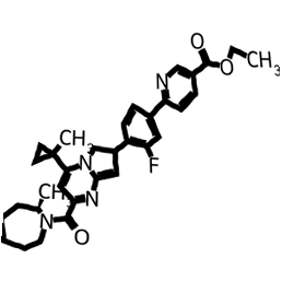 CCOC(=O)c1ccc(-c2ccc(C3C=C4N=C(C(=O)N5CCCCC[C@H]5C)C=C(C5(C)CC5)N4C3)c(F)c2)nc1